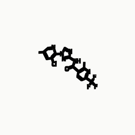 Cc1cnc(-n2cnc(NC(=O)c3ccc(C(F)(F)F)nc3C)n2)c(Cl)c1